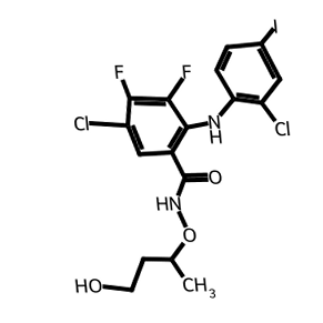 CC(CCO)ONC(=O)c1cc(Cl)c(F)c(F)c1Nc1ccc(I)cc1Cl